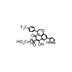 O=C(O)CNC(=O)c1c(O)c2cc(-c3ccn[nH]3)cc3c2n(c1=O)C(c1ccc(C(F)(F)F)cc1)CO3